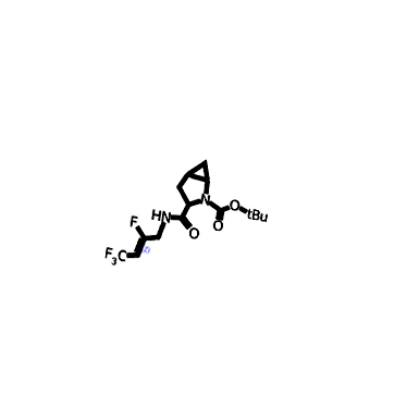 CC(C)(C)OC(=O)N1C(C(=O)NC/C(F)=C/C(F)(F)F)CC2CC21